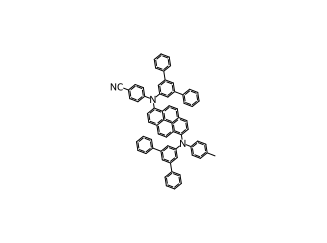 Cc1ccc(N(c2cc(-c3ccccc3)cc(-c3ccccc3)c2)c2ccc3ccc4c(N(c5ccc(C#N)cc5)c5cc(-c6ccccc6)cc(-c6ccccc6)c5)ccc5ccc2c3c54)cc1